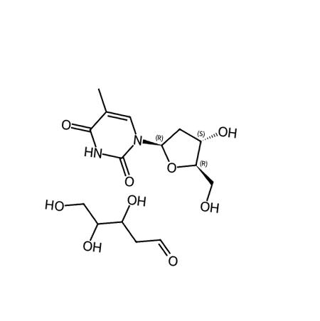 Cc1cn([C@H]2C[C@H](O)[C@@H](CO)O2)c(=O)[nH]c1=O.O=CCC(O)C(O)CO